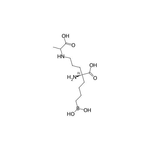 CC(NCCC[C@@](N)(CCCCB(O)O)C(=O)O)C(=O)O